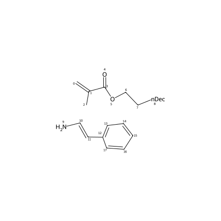 C=C(C)C(=O)OCCCCCCCCCCCC.NC=Cc1ccccc1